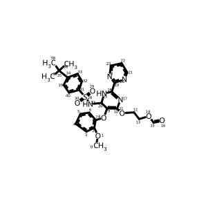 COc1ccccc1OC1=C(OCCOC=O)N=C(c2ncccn2)NC1NS(=O)(=O)c1ccc(C(C)(C)C)cc1